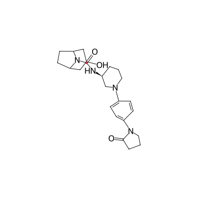 O=C1CCCN1c1ccc(N2CCC[C@H](NC(=O)N3C4CCC3CC(O)C4)C2)cc1